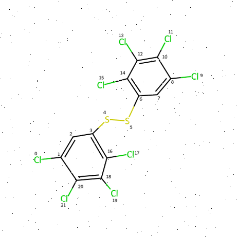 Clc1cc(SSc2cc(Cl)c(Cl)c(Cl)c2Cl)c(Cl)c(Cl)c1Cl